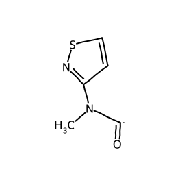 CN([C]=O)c1ccsn1